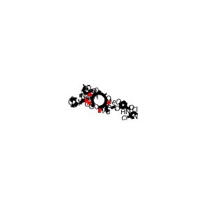 CC[C@H]1OC(=O)[C@H](C)[C@@H](OC(=O)CCN2CCOCC2)[C@H](C)[C@@H](O[C@@H]2O[C@H](C)C[C@H](N(C)C)[C@H]2O)[C@](C)(OC)C[C@@H](C)C(=O)[C@H](C)[C@H]2[C@H](SCCOc3cc(C(=O)Nc4c(Cl)cncc4Cl)ccc3OC)C(=O)O[C@@]21C